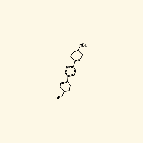 CCCCC1CC=C(c2ccc(C3=CCC(CCC)CC3)cc2)CC1